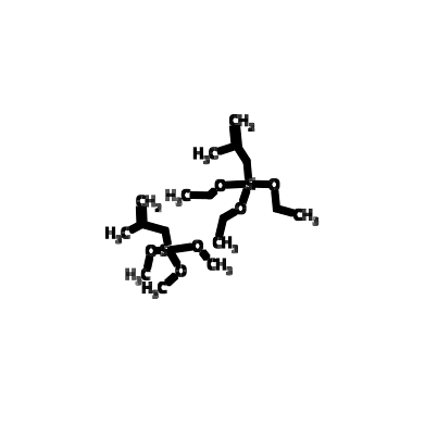 C=C(C)C[Si](OC)(OC)OC.C=C(C)C[Si](OCC)(OCC)OCC